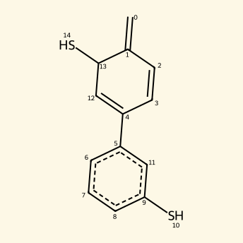 C=C1C=CC(c2cccc(S)c2)=CC1S